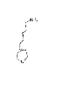 NCCSCCN1CCOCC1